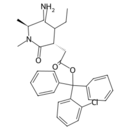 CCC(CC)[C@H](CC(=O)OC(c1ccccc1)(c1ccccc1)c1ccccc1Cl)C(=O)N(C)[C@@H](C)CN